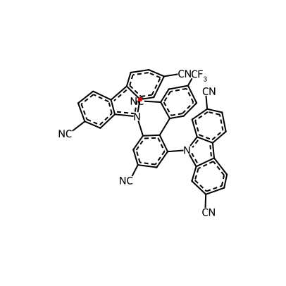 N#Cc1cc(-n2c3cc(C#N)ccc3c3ccc(C#N)cc32)c(-c2ccc(C(F)(F)F)cc2C#N)c(-n2c3cc(C#N)ccc3c3ccc(C#N)cc32)c1